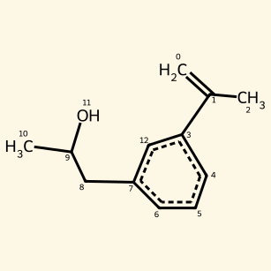 C=C(C)c1cccc(CC(C)O)c1